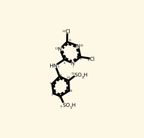 O=S(=O)(O)c1[c]cc(Nc2nc(Cl)nc(Cl)n2)c(S(=O)(=O)O)c1